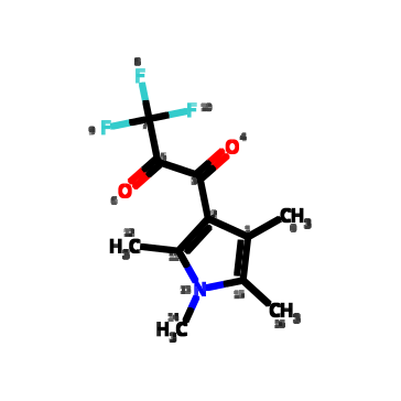 Cc1c(C(=O)C(=O)C(F)(F)F)c(C)n(C)c1C